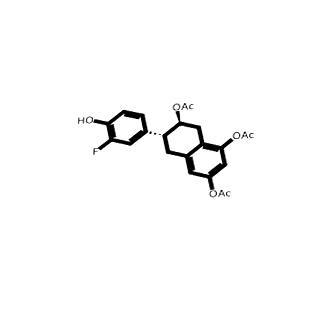 CC(=O)Oc1cc2c(c(OC(C)=O)c1)C[C@H](OC(C)=O)[C@@H](c1ccc(O)c(F)c1)C2